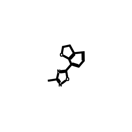 Cc1noc(-c2cccc3c2OCC3)n1